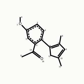 COc1ccc(C2=C(C)C=C(C)C2)c(C(C)=O)c1